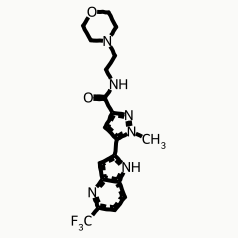 Cn1nc(C(=O)NCCN2CCOCC2)cc1-c1cc2nc(C(F)(F)F)ccc2[nH]1